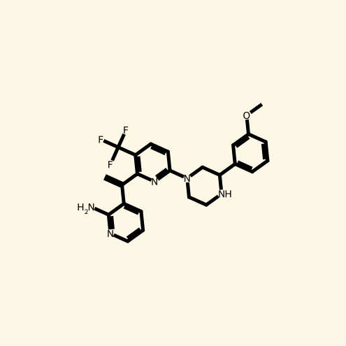 C=C(c1cccnc1N)c1nc(N2CCNC(c3cccc(OC)c3)C2)ccc1C(F)(F)F